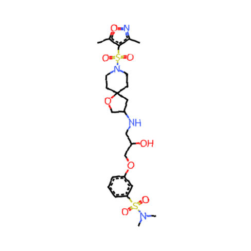 Cc1noc(C)c1S(=O)(=O)N1CCC2(CC1)CC(NCC(O)COc1cccc(S(=O)(=O)N(C)C)c1)CO2